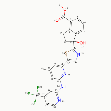 COC(=O)c1cccc2c1CC[C@@]2(O)c1ncc(-c2cc(C)cc(Nc3cc(C(F)(F)F)ccn3)n2)s1